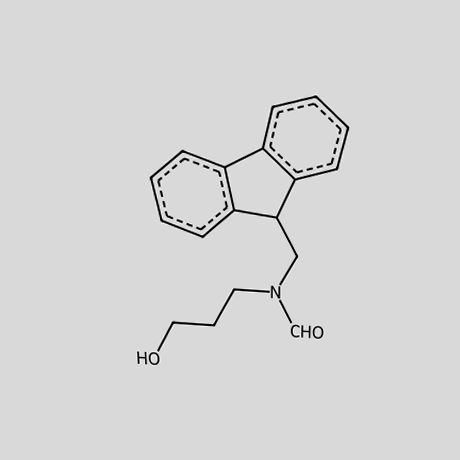 O=CN(CCCO)CC1c2ccccc2-c2ccccc21